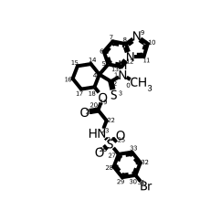 CNC(=S)C1(c2ccc3nccn3c2)CCCCC1OC(=O)CNS(=O)(=O)c1ccc(Br)cc1